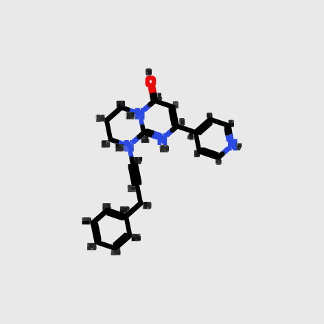 O=c1cc(-c2ccncc2)nc2n1CCCN2C#CCc1ccccc1